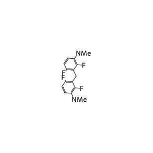 CNc1ccc(F)c(Cc2c(F)ccc(NC)c2F)c1F